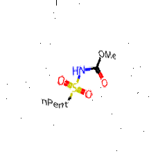 [CH2]OC(=O)NS(=O)(=O)CCCCC